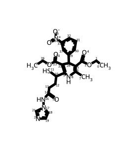 CCOC(=O)C1=C(C)NC(C(S)CCC(=O)Nn2ccnc2)=C(C(=O)OCC)C1c1cccc([N+](=O)[O-])c1